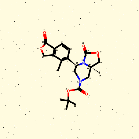 Cc1c([C@@H]2CN(C(=O)OC(C)(C)C)C[C@@H]3COC(=O)N32)ccc2c1COC2=O